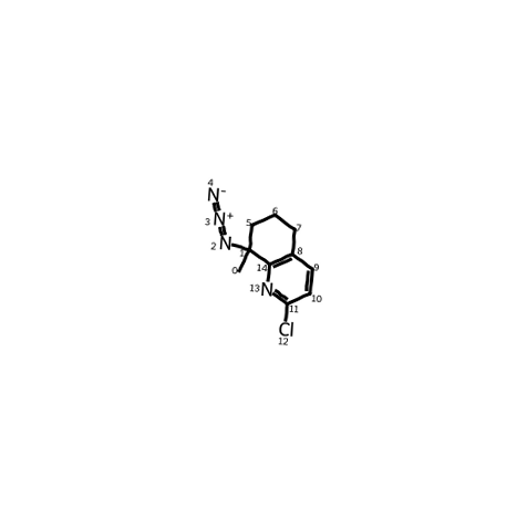 CC1(N=[N+]=[N-])CCCc2ccc(Cl)nc21